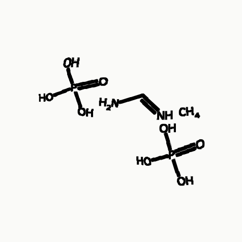 C.N=CN.O=P(O)(O)O.O=P(O)(O)O